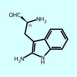 Nc1[nH]c2ccccc2c1C[C@H](N)C=O